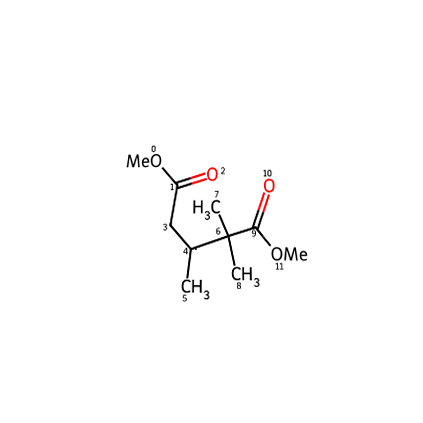 COC(=O)C[C](C)C(C)(C)C(=O)OC